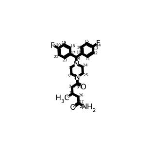 CC([CH]C(=O)N1CCN(C(c2ccc(F)cc2)c2ccc(F)cc2)CC1)CC(N)=O